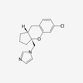 Clc1ccc2c(c1)O[C@]1(Cn3ccnc3)CCC[C@@H]1C2